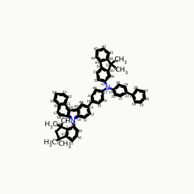 CC1(C)CC(C)(C)c2c(-n3c4ccc(-c5ccc(N(c6ccc(-c7ccccc7)cc6)c6ccc7c(c6)C(C)(C)c6ccccc6-7)cc5)cc4c4c5ccccc5ccc43)cccc21